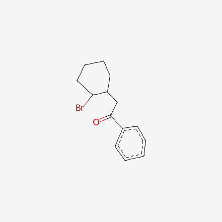 O=C(CC1CCCCC1Br)c1ccccc1